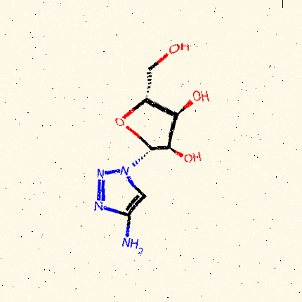 Nc1cn([C@@H]2O[C@H](CO)[C@@H](O)[C@H]2O)nn1